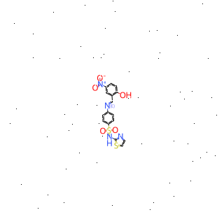 O=[N+]([O-])c1ccc(O)c(/C=N/c2ccc(S(=O)(=O)Nc3nccs3)cc2)c1